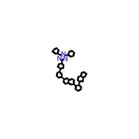 c1ccc(-c2nc(-c3ccccc3)nc(-c3ccc(-c4cccc(-c5ccc6cc(-c7ccccc7-c7ccc8ccccc8c7)ccc6c5)c4)cc3)n2)cc1